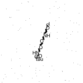 CC(C)(C)OC(=O)NCCOCCOCCNCCCOSI